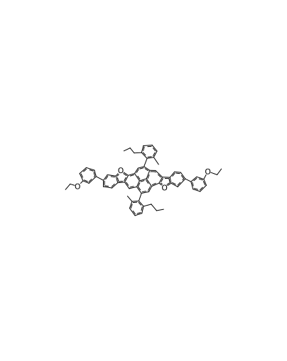 CCCc1cccc(C)c1-c1cc2c3oc4cc(-c5cccc(OCC)c5)ccc4c3cc3c(-c4c(C)cccc4CCC)cc4c5oc6cc(-c7cccc(OCC)c7)ccc6c5cc1c4c32